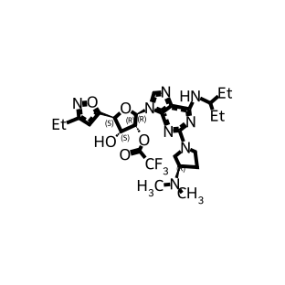 CCc1cc([C@H]2O[C@@H](n3cnc4c(NC(CC)CC)nc(N5CC[C@@H](N(C)C)C5)nc43)[C@H](OC(=O)C(F)(F)F)[C@@H]2O)on1